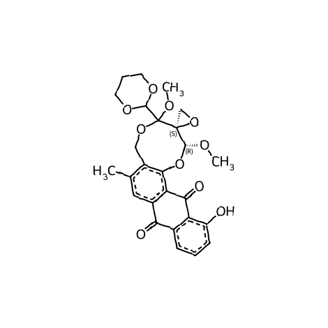 CO[C@@H]1Oc2c(c(C)cc3c2C(=O)c2c(O)cccc2C3=O)COC(OC)(C2OCCCO2)[C@]12CO2